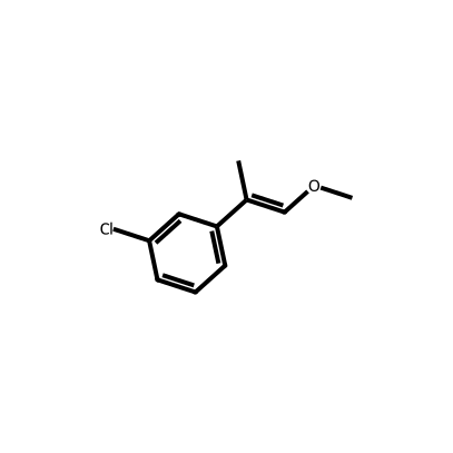 CO/C=C(\C)c1cccc(Cl)c1